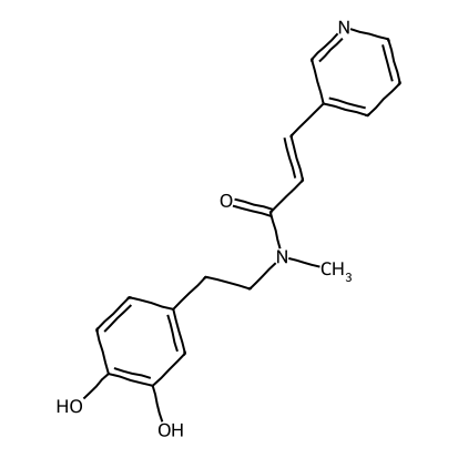 CN(CCc1ccc(O)c(O)c1)C(=O)C=Cc1cccnc1